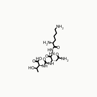 CC(O)[C@H](NC(=O)N[C@@H](CC(N)=O)C(=O)NNC(=O)[C@@H](N)CCCCN)C(=O)O